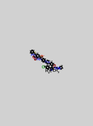 Cc1c(C(=O)NCCN2CCCC2)c(-c2cccc(N3CCN(c4ccc(N[S+]([O-])C5=CCC(NSc6ccccc6)C([N+](=O)[O-])=C5)cc4)CC3)c2)c(-c2ccc(Cl)cc2)n1C